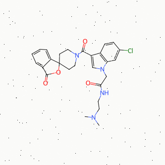 CN(C)CCNC(=O)Cn1cc(C(=O)N2CCC3(CC2)OC(=O)c2ccccc23)c2ccc(Cl)cc21